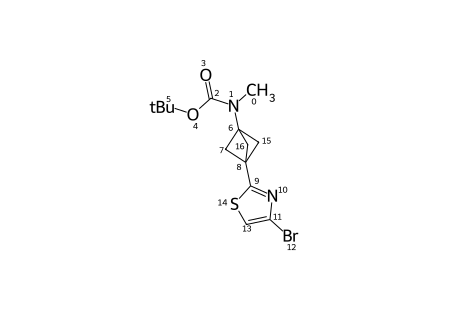 CN(C(=O)OC(C)(C)C)C12CC(c3nc(Br)cs3)(C1)C2